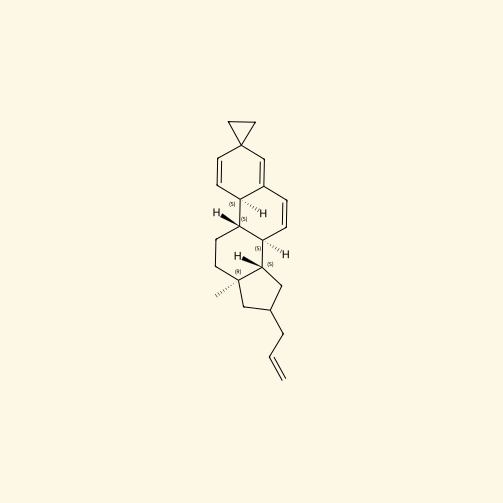 C=CCC1C[C@H]2[C@@H]3C=CC4=CC5(C=C[C@@H]4[C@H]3CC[C@]2(C)C1)CC5